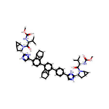 COC(=O)N[C@H](C(=O)N1C2CC2C[C@H]1c1ncc(-c2ccc(-c3ccc(-c4ccc(-c5cnc([C@@H]6CC7CC7N6C(=O)[C@@H](NC(=O)OC)C(C)C)[nH]5)c5c4C4CCC5C4)c4c3C3CCC4C3)cc2)[nH]1)C(C)C